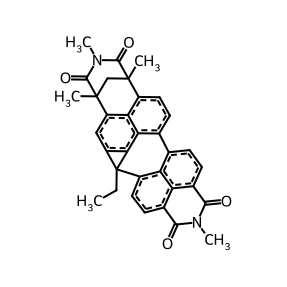 CCC12c3cc4c5c(ccc(c5c31)-c1ccc3c5c(ccc2c15)C(=O)N(C)C3=O)C1(C)CC4(C)C(=O)N(C)C1=O